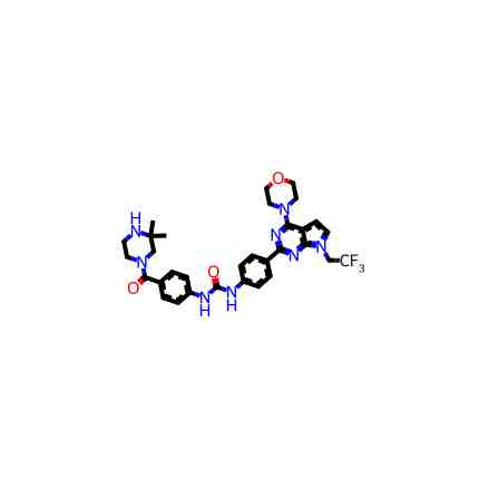 CC1(C)CN(C(=O)c2ccc(NC(=O)Nc3ccc(-c4nc(N5CCOCC5)c5ccn(CC(F)(F)F)c5n4)cc3)cc2)CCN1